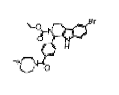 CCOC(=O)N1CCc2c([nH]c3ccc(Br)cc23)C1c1ccc(C(=O)N2CCCN(C)CC2)cc1